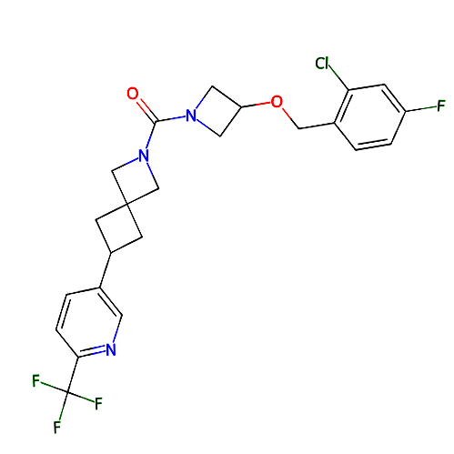 O=C(N1CC(OCc2ccc(F)cc2Cl)C1)N1CC2(CC(c3ccc(C(F)(F)F)nc3)C2)C1